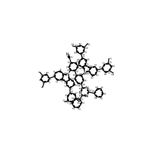 Cc1cc(C)cc(-c2ccc3c(c2)c2cc(-c4cc(C)cc(C)c4)ccc2n3-c2cc(C#N)ccc2-c2ccc(-c3nc(-c4ccccc4)nc(-c4ccccc4)n3)cc2-n2c3ccc(-c4cc(C)cc(C)c4)cc3c3cc(-c4cc(C)cc(C)c4)ccc32)c1